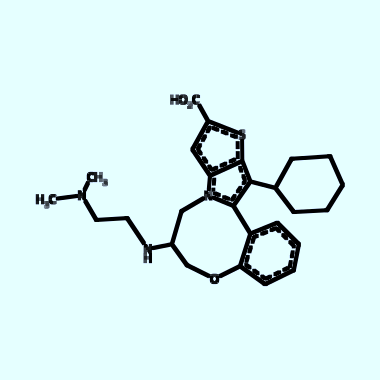 CN(C)CCNC1COc2ccccc2-c2c(C3CCCCC3)c3sc(C(=O)O)cc3n2C1